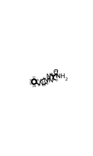 Cc1nc(N2CCN(Cc3ccccc3)CC2)ncc1C(N)=O